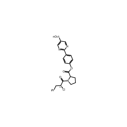 CCCCCCCCc1cnc(-c2ccc(OC(=O)C3CCCN3C(=O)[C@@H](Cl)CC(C)C)cc2)nc1